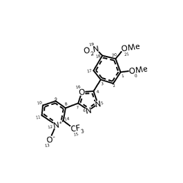 COc1cc(-c2nnc(-c3ccc[n+]([O-])c3C(F)(F)F)o2)cc([N+](=O)[O-])c1OC